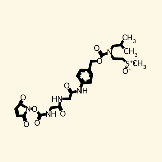 CC(C)CN(CC[S+](C)[O-])C(=O)OCc1ccc(NC(=O)CNC(=O)CNC(=O)ON2C(=O)C=CC2=O)cc1